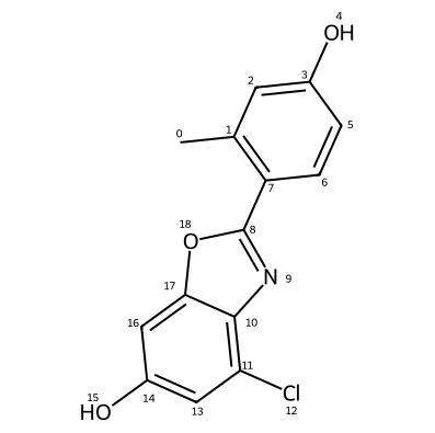 Cc1cc(O)ccc1-c1nc2c(Cl)cc(O)cc2o1